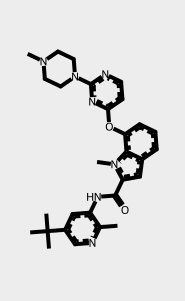 Cc1ncc(C(C)(C)C)cc1NC(=O)c1cc2cccc(Oc3ccnc(N4CCN(C)CC4)n3)c2n1C